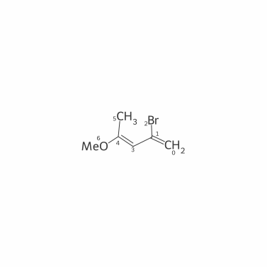 C=C(Br)/C=C(\C)OC